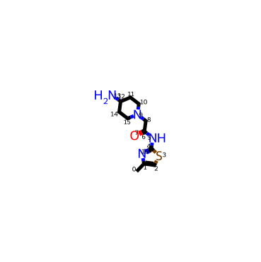 Cc1csc(NC(=O)CN2CCC(N)CC2)n1